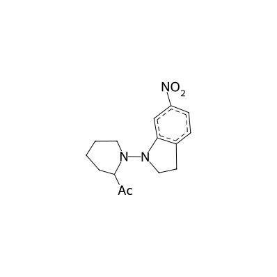 CC(=O)C1CCCCN1N1CCc2ccc([N+](=O)[O-])cc21